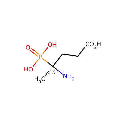 C[C@@](N)(CCC(=O)O)P(=O)(O)O